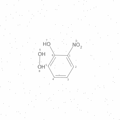 O=[N+]([O-])c1ccccc1O.OO